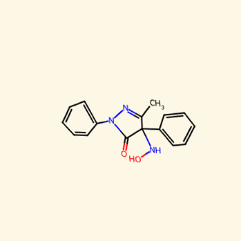 CC1=NN(c2ccccc2)C(=O)C1(NO)c1ccccc1